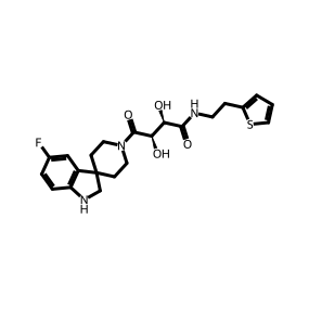 O=C(NCCc1cccs1)[C@H](O)[C@@H](O)C(=O)N1CCC2(CC1)CNc1ccc(F)cc12